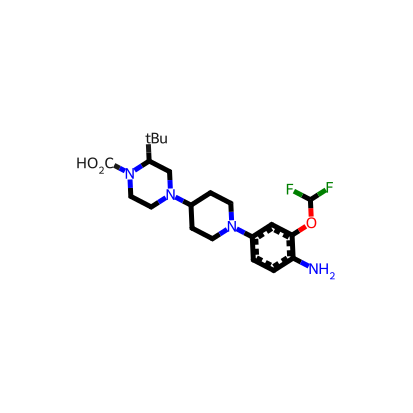 CC(C)(C)C1CN(C2CCN(c3ccc(N)c(OC(F)F)c3)CC2)CCN1C(=O)O